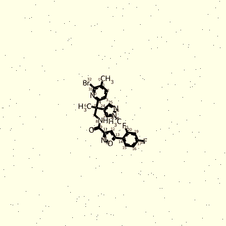 Cc1ccc(C(C)(CNC(=O)c2cc(-c3ccc(F)cc3F)on2)c2cnn(C)c2)nc1Br